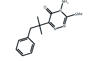 CSc1nnc(C(C)(C)Cc2ccccc2)c(=O)n1N